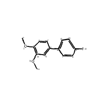 COc1ccc(-c2ccc(F)cc2)cc1OC